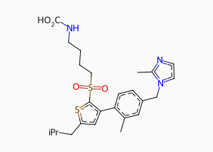 Cc1cc(Cn2ccnc2C)ccc1-c1cc(CC(C)C)sc1S(=O)(=O)CCCCNC(=O)O